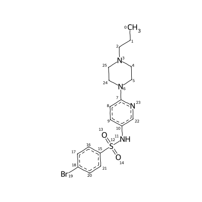 CCCN1CCN(c2ccc(NS(=O)(=O)c3ccc(Br)cc3)cn2)CC1